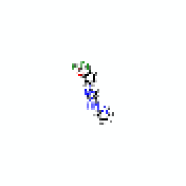 Fc1ccc(-n2cc(CNc3ccccn3)nn2)cc1OC(F)F